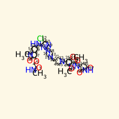 CNC(=O)COc1cc2cc(Nc3nc(N4CCN(CC5CCN(c6cc(OC)c(C(=O)NC7CCC(=O)NC7=O)c(OC)c6)CC5)CC4)ncc3Cl)ccc2n(C)c1=O